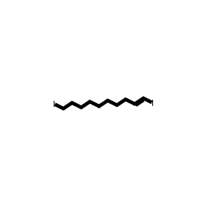 IC=CCCCCCCCCI